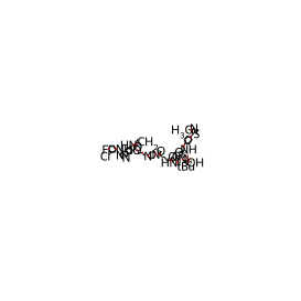 C=CC(=O)Nc1cc2c(Nc3ccc(F)c(Cl)c3)ncnc2cc1OCCCN1CCN(C(=O)CCCC(=O)NC(C(=O)N2C[C@H](O)C[C@H]2C(=O)NCc2ccc(-c3scnc3C)cc2)C(C)(C)C)CC1